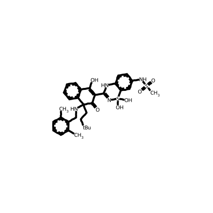 Cc1cccc(C)c1CNC1(CCC(C)(C)C)C(=O)C(C2=NS(O)(O)c3cc(NS(C)(=O)=O)ccc3N2)=C(O)c2ccccc21